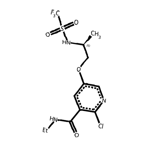 CCNC(=O)c1cc(OC[C@H](C)NS(=O)(=O)C(F)(F)F)cnc1Cl